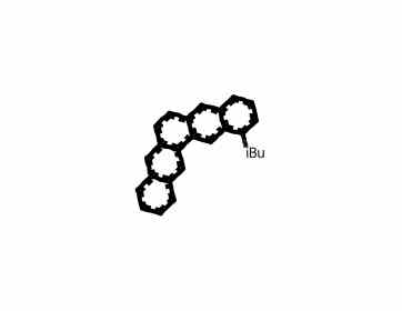 CCC(C)c1cccc2cc3ccc4cc5ccccc5cc4c3cc12